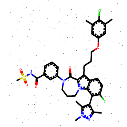 Cc1cc(OCCCc2c3n(c4c(-c5c(C)nn(C)c5C)c(Cl)ccc24)CCCN(c2cccc(C(=O)NS(C)(=O)=O)c2)C3=O)cc(C)c1Cl